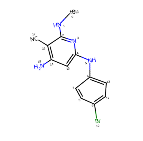 CC(C)(C)Nc1nc(Nc2ccc(Br)cc2)cc(N)c1C#N